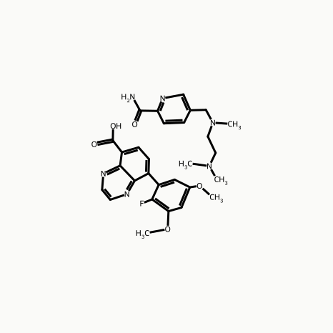 CN(C)CCN(C)Cc1ccc(C(N)=O)nc1.COc1cc(OC)c(F)c(-c2ccc(C(=O)O)c3nccnc23)c1